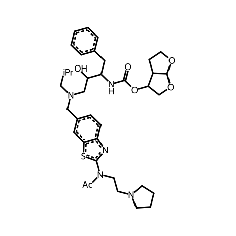 CC(=O)N(CCN1CCCC1)c1nc2ccc(CN(CC(C)C)CC(O)C(Cc3ccccc3)NC(=O)OC3COC4OCCC34)cc2s1